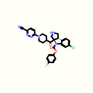 CCN(C(=O)Oc1ccc(F)cc1)[C@@]1(C(=O)C2CCN(c3ccc(C#N)nn3)CC2)CNC[C@@H]1c1ccc(Cl)cc1